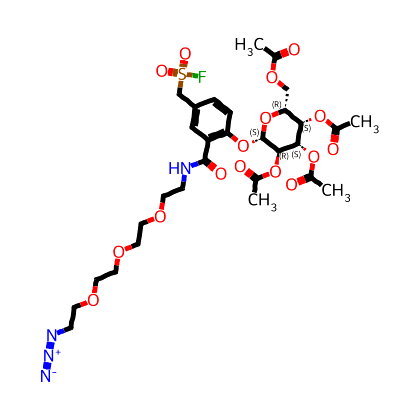 CC(=O)OC[C@H]1O[C@@H](Oc2ccc(CS(=O)(=O)F)cc2C(=O)NCCOCCOCCOCCN=[N+]=[N-])[C@H](OC(C)=O)[C@@H](OC(C)=O)[C@H]1OC(C)=O